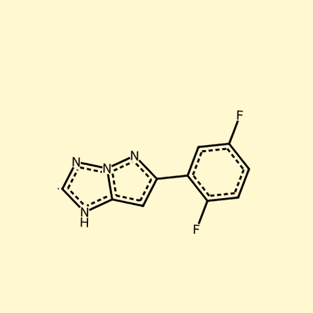 Fc1ccc(F)c(-c2cc3[nH][c]nn3n2)c1